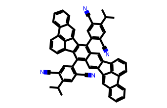 CC(C)c1cc(C#N)c(-c2c3cc4c(cc3c(-c3cc(C#N)c(C(C)C)cc3C#N)c3c5cc6ccccc6c6cccc(c23)c65)c2cccc3c5ccccc5cc4c32)cc1C#N